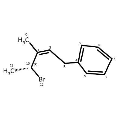 CC(=CCc1ccccc1)[C@@H](C)Br